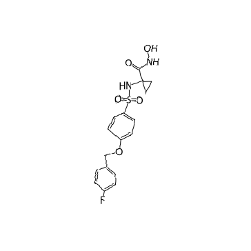 O=C(NO)C1(NS(=O)(=O)c2ccc(OCc3ccc(F)cc3)cc2)CC1